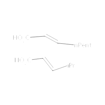 CC(C)C=CC(=O)O.CCCCCC=CC(=O)O